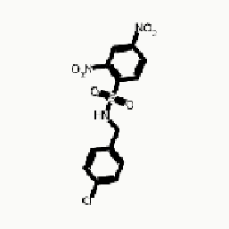 O=[N+]([O-])c1ccc(S(=O)(=O)NCc2ccc(Cl)cc2)c([N+](=O)[O-])c1